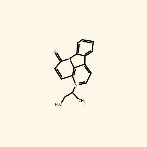 CCC(C)[n+]1ccc2c3ccccc3n3c(=O)ccc1c23